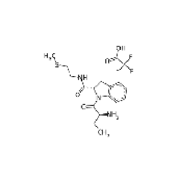 CC[C@H](N)C(=O)N1c2ccccc2C[C@H]1C(=O)NCCSC.O=C(O)C(F)(F)F